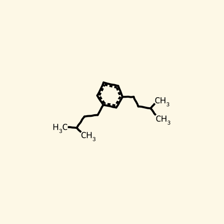 CC(C)CCc1cccc(CCC(C)C)c1